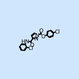 O=C(Nc1ccccc1Cl)c1ccn(C(=O)Oc2ccc(Cl)cc2)n1